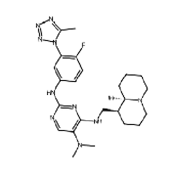 Cc1nnnn1-c1cc(Nc2ncc(N(C)C)c(NC[C@@H]3CCCN4CCCC[C@H]34)n2)ccc1F